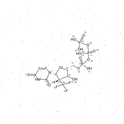 O=c1[nH]c(=S)ccn1[C@@H]1O[C@H](COP(=O)(O)OP(=O)(O)OP(=O)(O)O)C(O)[C@]1(F)C(F)(F)F